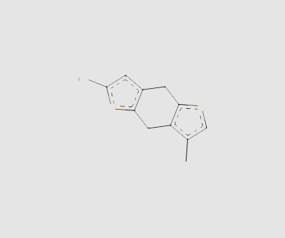 Cc1csc2c1Cc1sc(C(C)C)cc1C2